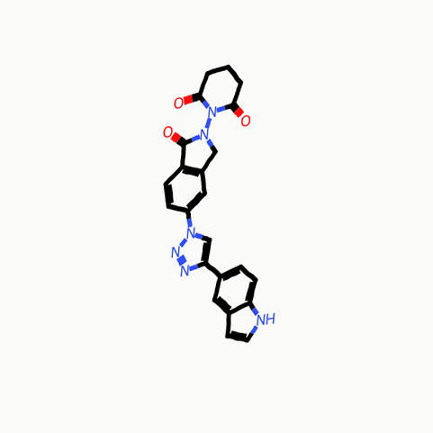 O=C1c2ccc(-n3cc(-c4ccc5[nH]ccc5c4)nn3)cc2CN1N1C(=O)CCCC1=O